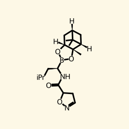 CC(C)C[C@H](NC(=O)C1CC=NO1)B1O[C@@H]2C[C@@H]3C[C@@H](C3(C)C)[C@]2(C)O1